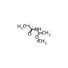 CCC(=O)NC(C)OC